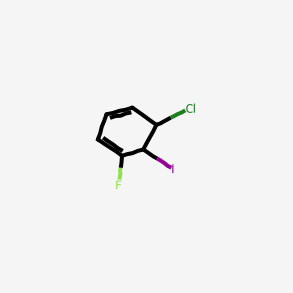 FC1=CC=CC(Cl)C1I